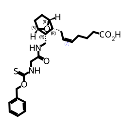 O=C(O)CCC/C=C\C[C@@H]1[C@H](CNC(=O)CNC(=S)OCc2ccccc2)[C@@H]2CC[C@H]1O2